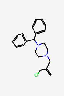 C=C(CCl)CN1CCN(C(c2ccccc2)c2ccccc2)CC1